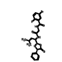 CC(C)CC(NC(=O)CNC(=O)c1cc(Br)ccc1F)B1OC(=O)[C@@H](c2ccccc2)O1